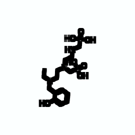 CCN(CCN(CCNCP(=O)(O)O)CP(=O)(O)O)Cc1ccccc1O